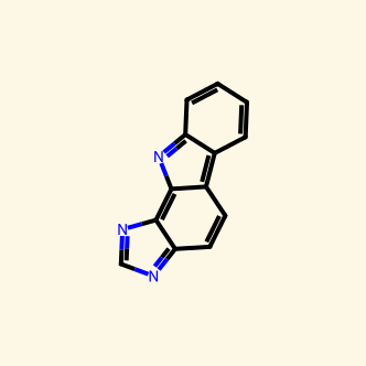 C1=Nc2c3c(ccc2=N1)=c1ccccc1=N3